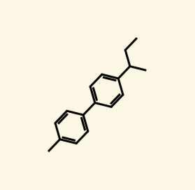 CCC(C)c1ccc(-c2ccc(C)cc2)cc1